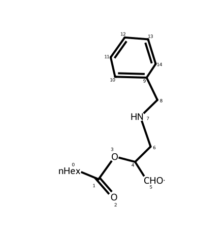 CCCCCCC(=O)OC([C]=O)CNCc1ccccc1